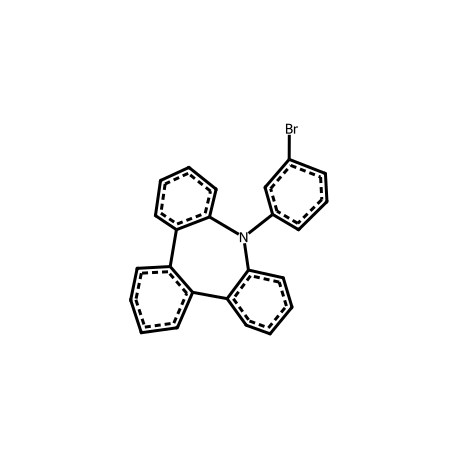 Brc1cccc(N2c3ccccc3-c3ccccc3-c3ccccc32)c1